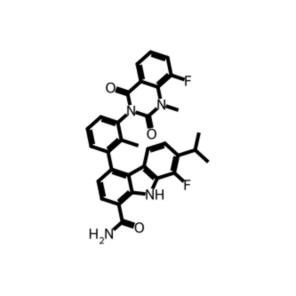 Cc1c(-c2ccc(C(N)=O)c3[nH]c4c(F)c(C(C)C)ccc4c23)cccc1-n1c(=O)c2cccc(F)c2n(C)c1=O